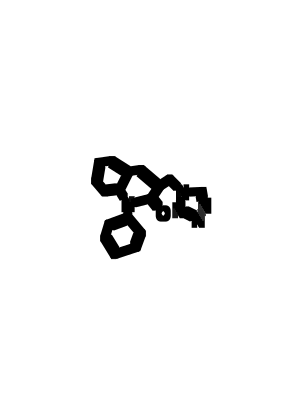 O=c1c(Cn2cnnn2)cc2ccccc2n1-c1ccccc1